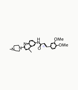 COc1ccc(/C=C/C(=O)Nc2ccc3nc(N4CCN(C)CC4)cc(C)c3c2)cc1OC